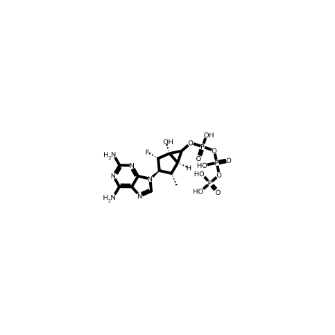 C[C@@H]1[C@@H](n2cnc3c(N)nc(N)nc32)[C@H](F)[C@@]2(O)C(OP(=O)(O)OP(=O)(O)OP(=O)(O)O)[C@@H]12